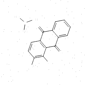 Cc1ccc2c(c1C)C(=O)c1ccccc1C2=O.NP(O)O